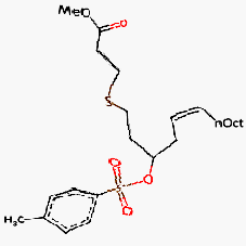 CCCCCCCC/C=C\CC(CCSCCC(=O)OC)OS(=O)(=O)c1ccc(C)cc1